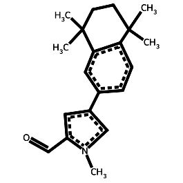 Cn1cc(-c2ccc3c(c2)C(C)(C)CCC3(C)C)cc1C=O